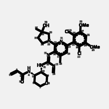 C=CC(=O)N[C@H]1CCOC[C@H]1N/C(N=C)=N/c1c(C)cc(-c2c(Cl)c(OC)cc(OC)c2Cl)nc1N1CCC(C)(O)C1